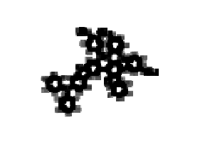 CC(C)(C)c1ccc(N2B3c4cc(C(C)(C)C)ccc4-n4c5ccc(C(C)(C)C)cc5c5c6c(oc7ccccc76)c(c3c54)-c3cc4c(cc32)sc2cc(N(c3ccccc3)c3ccccc3)ccc24)cc1